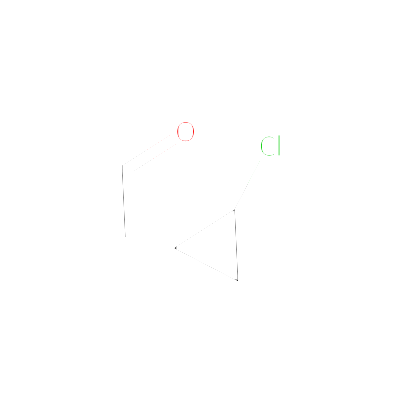 CC=O.ClC1CC1